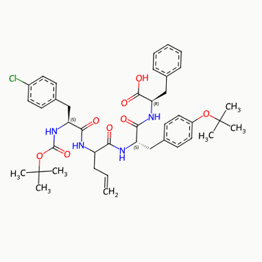 C=CCC(NC(=O)[C@H](Cc1ccc(Cl)cc1)NC(=O)OC(C)(C)C)C(=O)N[C@@H](Cc1ccc(OC(C)(C)C)cc1)C(=O)N[C@H](Cc1ccccc1)C(=O)O